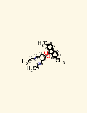 C=C/C=C/CCCOC1(OCCC/C=C/C=C)c2cc(C)ccc2-c2ccc(C)cc21